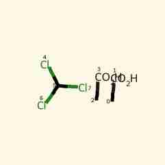 CC(=O)O.CC(=O)O.ClC(Cl)Cl